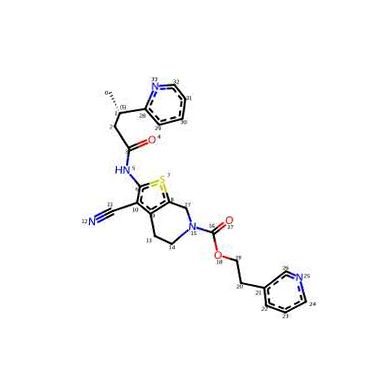 C[C@@H](CC(=O)Nc1sc2c(c1C#N)CCN(C(=O)OCCc1cccnc1)C2)c1ccccn1